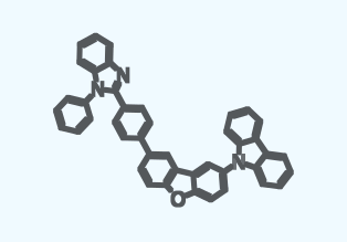 c1ccc(-n2c(-c3ccc(-c4ccc5oc6ccc(-n7c8ccccc8c8ccccc87)cc6c5c4)cc3)nc3ccccc32)cc1